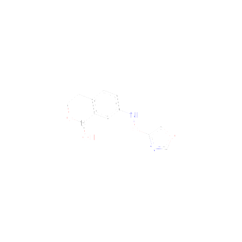 OB1OCCc2ccc(NOc3cocn3)cc21